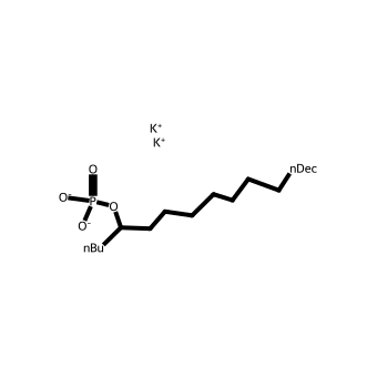 CCCCCCCCCCCCCCCCCC(CCCC)OP(=O)([O-])[O-].[K+].[K+]